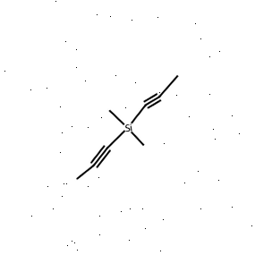 CC#C[Si](C)(C)C#CC